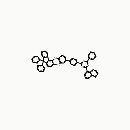 c1ccc(-c2nc(-c3ccc(-c4ccc5c(c4)Oc4ccc6c(c4O5)-c4ccccc4C6(c4ccccc4)c4ccccc4)cc3)nc(-c3cccc4ccccc34)n2)cc1